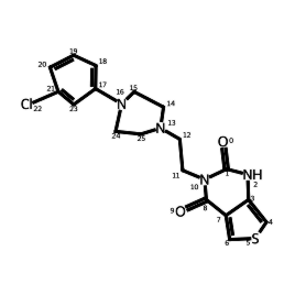 O=c1[nH]c2cscc2c(=O)n1CCN1CCN(c2cccc(Cl)c2)CC1